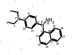 CCN(CC)c1ccc(N(N)c2cccc3ccccc23)cc1